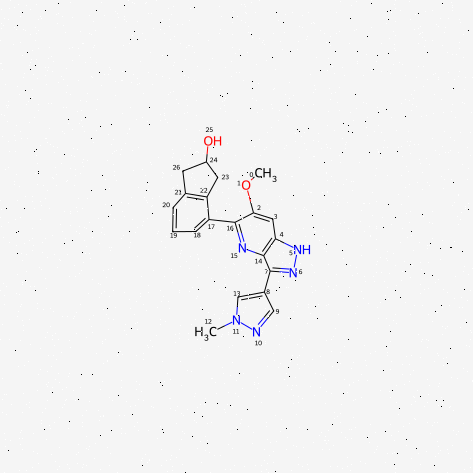 COc1cc2[nH]nc(-c3cnn(C)c3)c2nc1-c1cccc2c1CC(O)C2